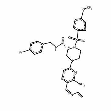 C=C/N=C\c1ncc(N2CCN(S(=O)(=O)c3ccc(OC(F)(F)F)cc3)[C@@H](C(=O)NCc3ccc(CCC)cc3)C2)nc1N